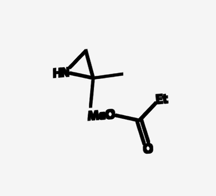 CC1(C)CN1.CCC(=O)OC